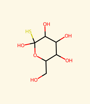 OCC1OC(O)(S)C(O)C(O)C1O